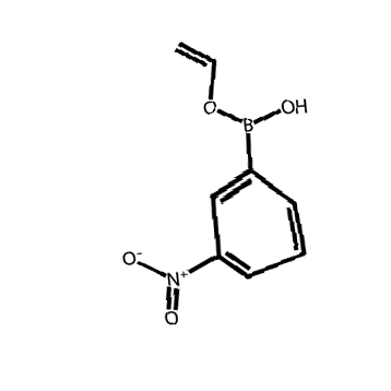 C=COB(O)c1cccc([N+](=O)[O-])c1